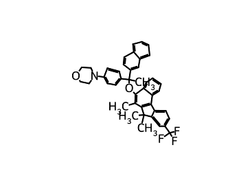 Cc1c2c(c3ccccc3c1OC(C)(c1ccc(N3CCOCC3)cc1)c1ccc3ccccc3c1)-c1ccc(C(F)(F)F)cc1C2(C)C